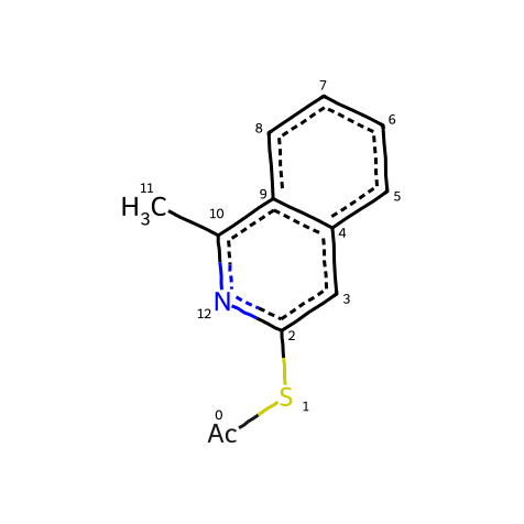 CC(=O)Sc1cc2ccccc2c(C)n1